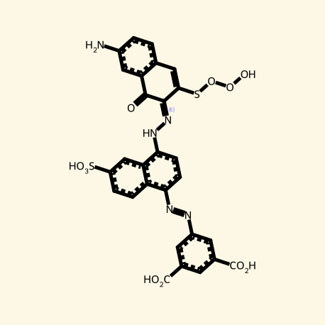 Nc1ccc2c(c1)C(=O)/C(=N\Nc1ccc(N=Nc3cc(C(=O)O)cc(C(=O)O)c3)c3ccc(S(=O)(=O)O)cc13)C(SOOO)=C2